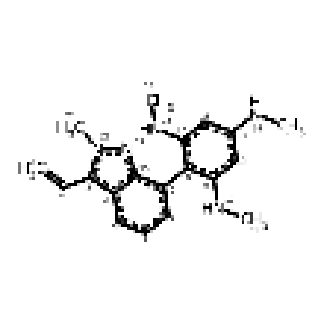 C=Cc1c2cccc(-c3c(NC)cc(NC)cc3NC)c2nn1C